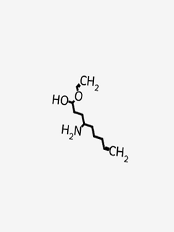 C=CCCCC(N)CCC(O)OC=C